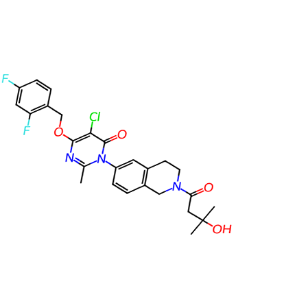 Cc1nc(OCc2ccc(F)cc2F)c(Cl)c(=O)n1-c1ccc2c(c1)CCN(C(=O)CC(C)(C)O)C2